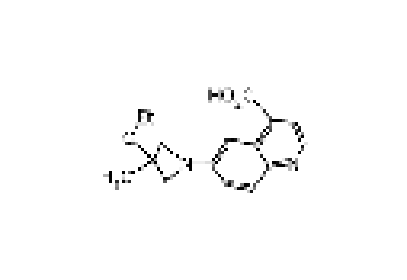 CCOC1(C)CN(c2ccc3nccc(C(=O)O)c3c2)C1